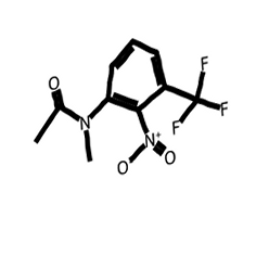 CC(=O)N(C)c1cccc(C(F)(F)F)c1[N+](=O)[O-]